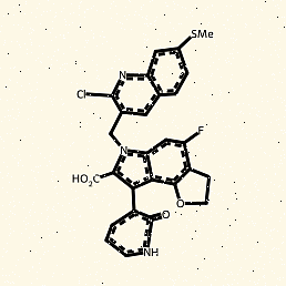 CSc1ccc2cc(Cn3c(C(=O)O)c(-c4ccc[nH]c4=O)c4c5c(c(F)cc43)CCO5)c(Cl)nc2c1